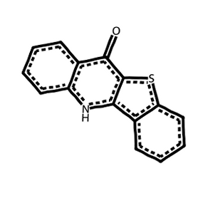 O=c1c2ccccc2[nH]c2c1sc1ccccc12